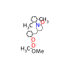 COC(C)OCOc1ccccc1CC1CCC(=O)N(c2c(C)cccc2C)C1